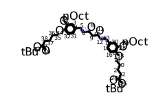 CCCCCCCCOc1cc(/C=C/C(=O)CC(=O)/C=C/c2ccc(OCCCCC(=O)OC(C)(C)C)c(OCCCCCCCC)c2)ccc1OCCCCC(=O)OC(C)(C)C